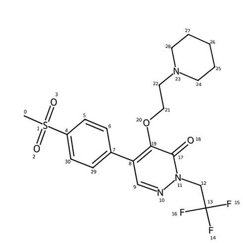 CS(=O)(=O)c1ccc(-c2cnn(CC(F)(F)F)c(=O)c2OCCN2CCCCC2)cc1